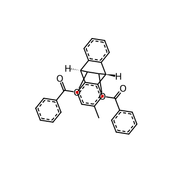 Cc1ccc2c(c1)[C@H]1c3ccccc3[C@H]2C(OC(=O)c2ccccc2)C1OC(=O)c1ccccc1